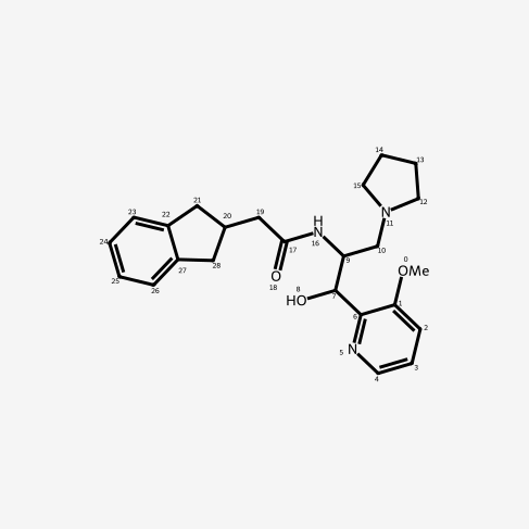 COc1cccnc1C(O)C(CN1CCCC1)NC(=O)CC1Cc2ccccc2C1